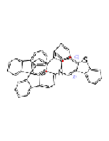 C=C/C=c1/sc2ccccc2/c1=C/N(c1ccc2c(c1)C1(c3ccccc3-c3ccccc31)c1ccccc1-2)c1ccccc1-c1ccccc1